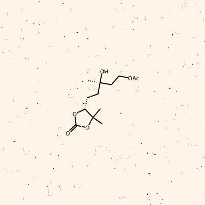 CC(=O)OCC[C@](C)(O)CC[C@H]1OC(=O)OC1(C)C